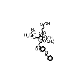 CCN(CCC12O[C@H]([C@H]3COC(C)(C)O3)[C@H](OC(=O)CCC(=O)O)[C@H]1OC(C)(C)O2)c1ccc(N=Nc2ccccc2)cc1